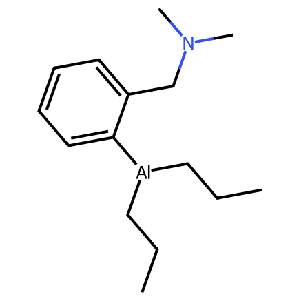 CC[CH2][Al]([CH2]CC)[c]1ccccc1CN(C)C